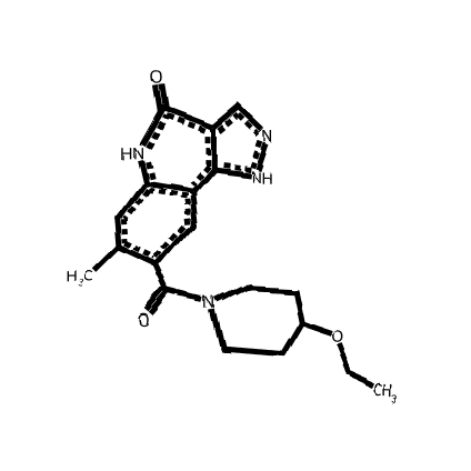 CCOC1CCN(C(=O)c2cc3c(cc2C)[nH]c(=O)c2cn[nH]c23)CC1